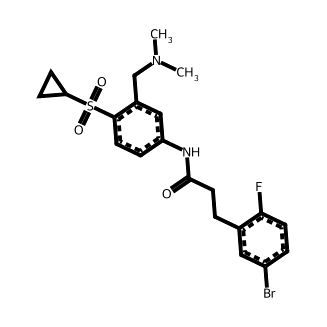 CN(C)Cc1cc(NC(=O)CCc2cc(Br)ccc2F)ccc1S(=O)(=O)C1CC1